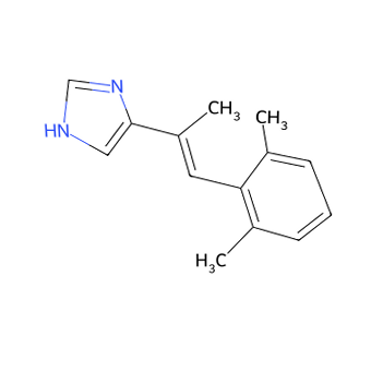 C/C(=C\c1c(C)cccc1C)c1c[nH]cn1